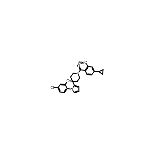 COc1cc(C2CC2)ccc1C(=O)N1CCC2(CC1)Oc1cc(Cl)ccc1-n1cccc12